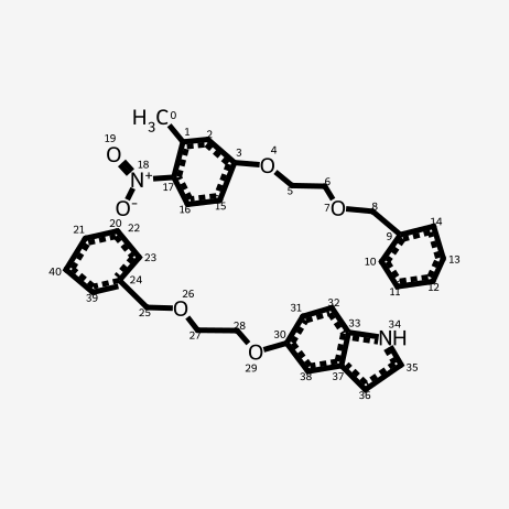 Cc1cc(OCCOCc2ccccc2)ccc1[N+](=O)[O-].c1ccc(COCCOc2ccc3[nH]ccc3c2)cc1